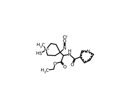 CCOC(=O)C(NC(=O)c1cccnc1)C1(N=O)CC[N+](C)(S)CC1.[Cl-]